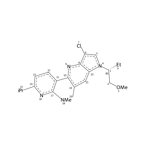 CC[C@H](COC)n1cc(Cl)c2nc(-c3ccc(C(C)C)nc3NC)c(C)cc21